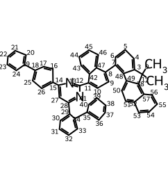 CC1(C)c2cccc(-c3ccc(-c4nc(-c5ccc(-c6ccccc6)cc5)cc(-c5ccccc5-c5ccccc5)n4)c4ccccc34)c2-c2ccc3ccccc3c21